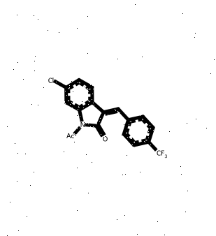 CC(=O)N1C(=O)C(=Cc2ccc(C(F)(F)F)cc2)c2ccc(Cl)cc21